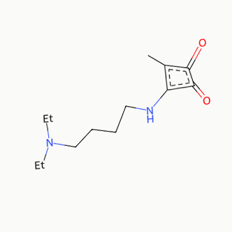 CCN(CC)CCCCNc1c(C)c(=O)c1=O